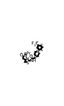 CCCOC(=O)Cc1csc(NC(=O)CN2CCN(c3cccc(C(F)(F)F)c3)CC2)n1